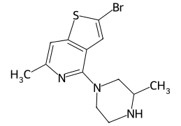 Cc1cc2sc(Br)cc2c(N2CCNC(C)C2)n1